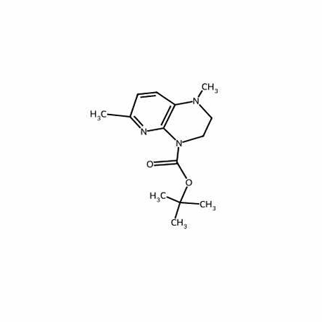 Cc1ccc2c(n1)N(C(=O)OC(C)(C)C)CCN2C